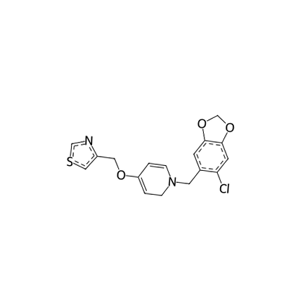 Clc1cc2c(cc1CN1C=CC(OCc3cscn3)=CC1)OCO2